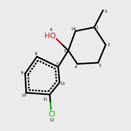 CC1CCCC(O)(c2cccc(Cl)c2)C1